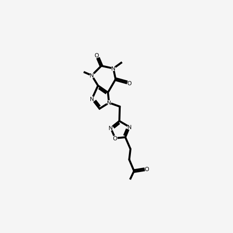 CC(=O)CCc1nc(Cn2cnc3c2c(=O)n(C)c(=O)n3C)no1